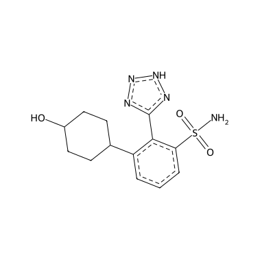 NS(=O)(=O)c1cccc(C2CCC(O)CC2)c1-c1nn[nH]n1